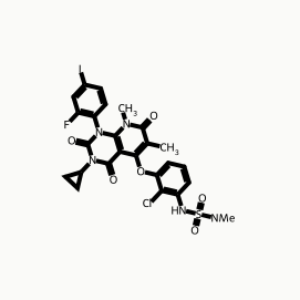 CNS(=O)(=O)Nc1cccc(Oc2c(C)c(=O)n(C)c3c2c(=O)n(C2CC2)c(=O)n3-c2ccc(I)cc2F)c1Cl